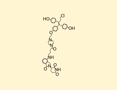 O=C1CCC(N2Cc3c(NCCCC(=O)N4CCN(CCOc5ccc(C(=C(CCCl)c6ccc(O)cc6)c6ccc(O)cc6)cc5)CC4)cccc3C2=O)C(=O)N1